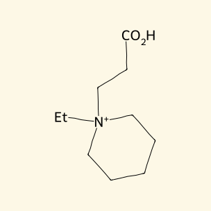 CC[N+]1(CCC(=O)O)CCCCC1